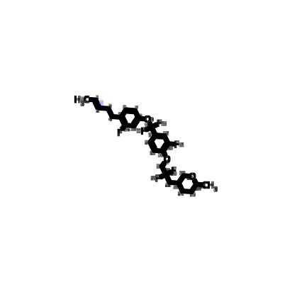 C/C=C/CCc1ccc(OC(F)(F)c2ccc(OCC(F)(F)CC3CCC(C)OC3)c(F)c2)cc1F